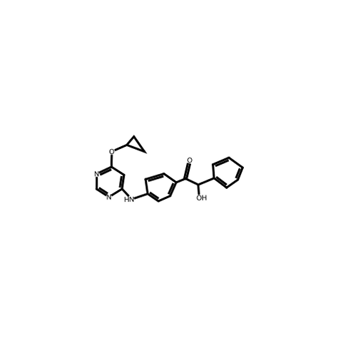 O=C(c1ccc(Nc2cc(OC3CC3)ncn2)cc1)C(O)c1ccccc1